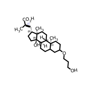 C/C(=C\[C@H]1CC[C@@]2(O)[C@@H]3CCC4CC(OCCCO)CC[C@]4(C)[C@H]3CC[C@]12C)C(=O)O